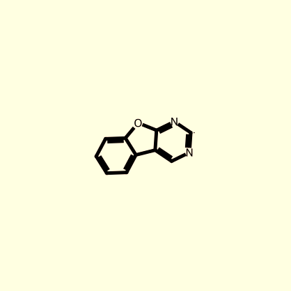 [c]1ncc2c(n1)oc1ccccc12